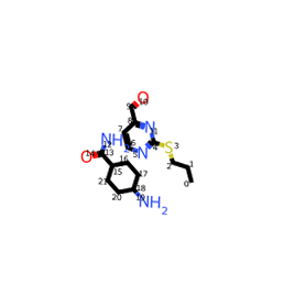 CCCSc1nccc(C=O)n1.NC(=O)C1CCC(N)CC1